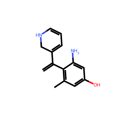 C=C(C1=CC=CNC1)c1c(C)cc(O)cc1N